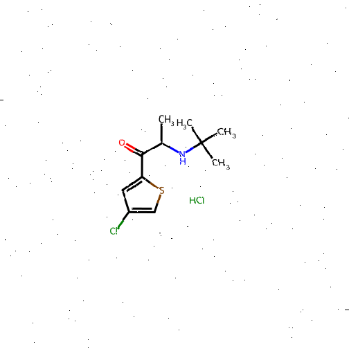 CC(NC(C)(C)C)C(=O)c1cc(Cl)cs1.Cl